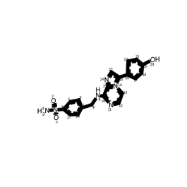 NS(=O)(=O)c1ccc(CNc2nccn3c(-c4ccc(O)cc4)cnc23)cc1